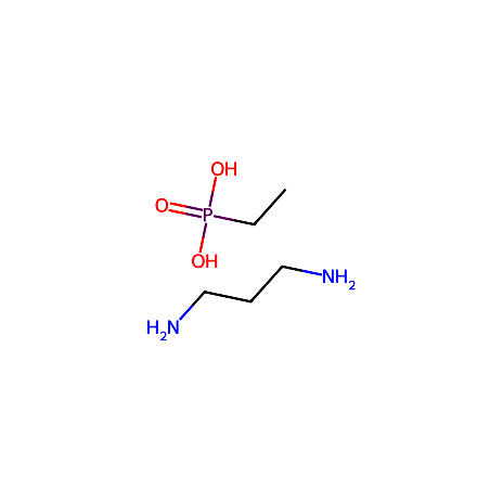 CCP(=O)(O)O.NCCCN